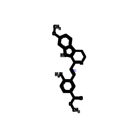 COC(=O)c1ccc(N)c(/C=C/C2=NCCc3c2[nH]c2cc(OC)ccc32)c1